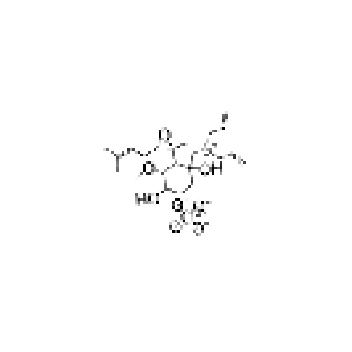 C=CC[S+](CC=C)CC1(O)CCC(O)C(OC)C1C1(C)OC1CC=C(C)C.[O-][Cl+3]([O-])([O-])[O-]